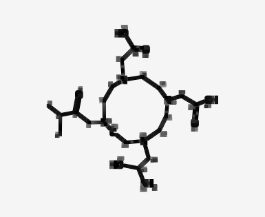 CC(C)C(=O)CN1CCN(CC(=O)O)CCN(CC(=O)O)CCN(CC(N)O)CC1